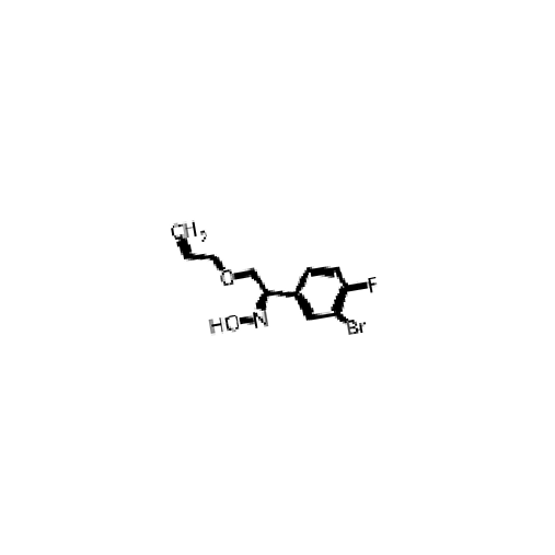 C=CCOC/C(=N\O)c1ccc(F)c(Br)c1